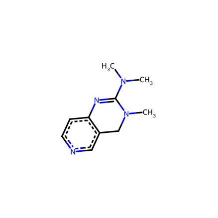 CN(C)C1=Nc2ccncc2CN1C